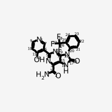 NC(=O)c1nc(-c2cnccc2O)nc2c1[nH]c(=O)n2-c1ccccc1C(F)(F)F